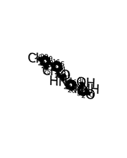 O=C1C=CN(c2ccc(NC(=O)Cc3cccc(-c4ccc(Cl)cc4Cl)c3)cc2)C(O)N1